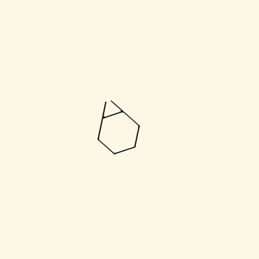 O[C@@H]1CCC2OC2C1